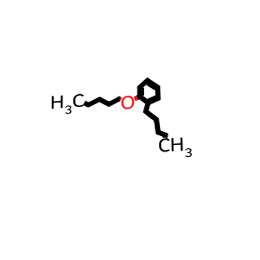 CCCCCOc1ccccc1CCCCC